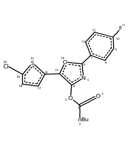 CCCCC(=O)Oc1nc(-c2ccc(F)cc2)oc1-c1ccc(Cl)s1